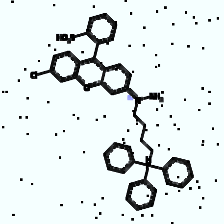 N/[N+](CCCC[PH](c1ccccc1)(c1ccccc1)c1ccccc1)=c1\ccc2c(-c3ccccc3S(=O)(=O)O)c3ccc(Cl)cc3oc-2c1